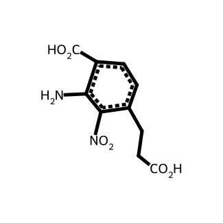 Nc1c(C(=O)O)ccc(CCC(=O)O)c1[N+](=O)[O-]